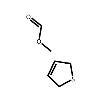 C1=CCSC1.COC=O